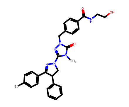 CCc1ccc(C2=NN(c3nn(Cc4ccc(C(=O)NCCO)cc4)c(=O)n3C)CC2c2ccccc2)cc1